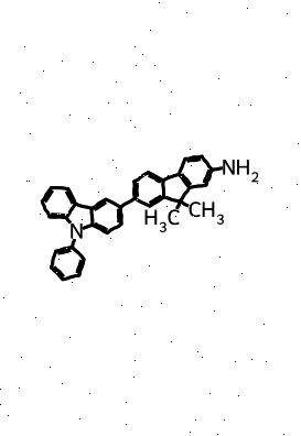 CC1(C)c2cc(N)ccc2-c2ccc(-c3ccc4c(c3)c3ccccc3n4-c3ccccc3)cc21